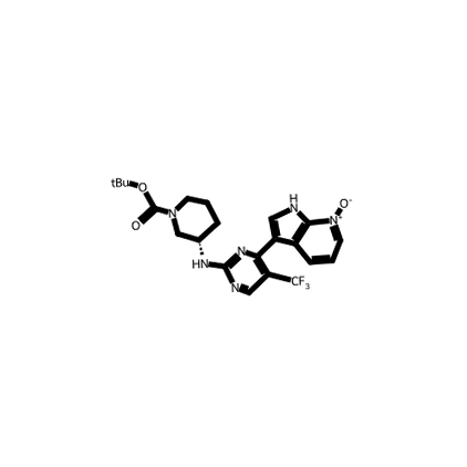 CC(C)(C)OC(=O)N1CCC[C@H](Nc2ncc(C(F)(F)F)c(-c3c[nH]c4c3ccc[n+]4[O-])n2)C1